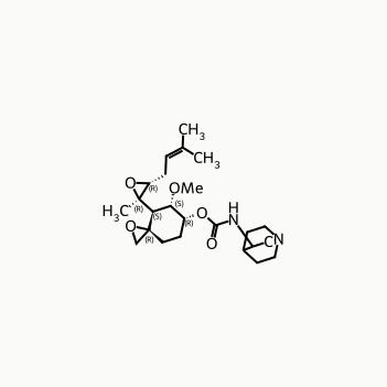 CO[C@@H]1[C@H](OC(=O)NC2CN3CCC2CC3)CC[C@]2(CO2)[C@H]1[C@@]1(C)O[C@@H]1CC=C(C)C